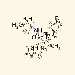 C=C/C=C\C(=C/C=C)NC(=O)c1nn(Cc2ccc(F)cc2)c2c1CN(C(=O)c1ccc[nH]1)CC2C